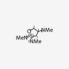 CNC1CO[Si](NC)(NC)C1